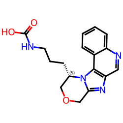 O=C(O)NCCC[C@H]1COCc2nc3cnc4ccccc4c3n21